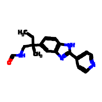 CCC(C)(CNC=O)c1ccc2[nH]c(-c3ccncc3)nc2c1